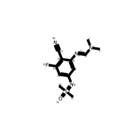 CN(C)/C=N/c1cc(N=S(C)(C)=O)cc(F)c1C#N